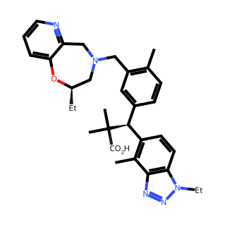 CC[C@@H]1CN(Cc2cc([C@@H](c3ccc4c(nnn4CC)c3C)C(C)(C)C(=O)O)ccc2C)Cc2ncccc2O1